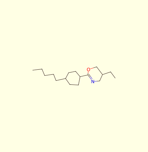 CCCCCC1CCC(C2=NCC(CC)CO2)CC1